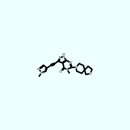 Cn1cc(C#Cc2n[nH]c3nc(N4CCC5(CCOC5)CC4)n(C)c(=O)c23)cn1